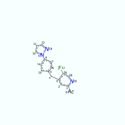 CC(=O)c1cc(Cc2ccc(-n3cccn3)cc2)c(F)cn1